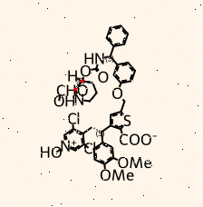 COc1ccc([C@H](Cc2c(Cl)c[n+](O)cc2Cl)c2cc(COc3cccc([C@@H](NC(=O)O[C@H]4CN5CCC4CC5)c4ccccc4)c3)sc2C(=O)[O-])cc1OC.O=CO